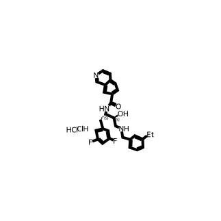 CCc1cccc(CNC[C@H](O)[C@H](Cc2cc(F)cc(F)c2)NC(=O)c2ccc3ccncc3c2)c1.Cl.Cl